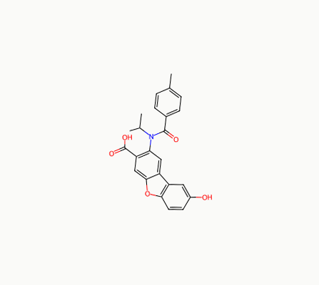 Cc1ccc(C(=O)N(c2cc3c(cc2C(=O)O)oc2ccc(O)cc23)C(C)C)cc1